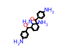 Nc1ccc(C(=O)C2=CC=CC(N)(C(=O)c3ccc(N)cc3)C2N)cc1